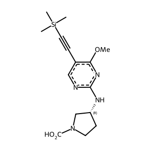 COc1nc(N[C@@H]2CCN(C(=O)O)C2)ncc1C#C[Si](C)(C)C